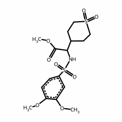 COC(=O)C(NS(=O)(=O)c1ccc(OC)c(OC)c1)C1CCS(=O)(=O)CC1